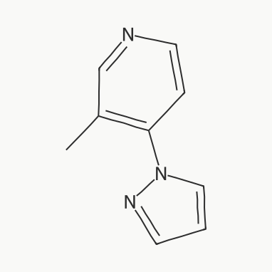 Cc1cnccc1-n1cccn1